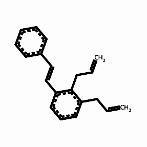 C=CCc1cccc(C=Cc2ccccc2)c1CC=C